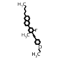 CCCCCc1ccc2cc(-c3cc(C)c(C#Cc4ccc(OCCC)cc4)c(F)c3)ccc2c1